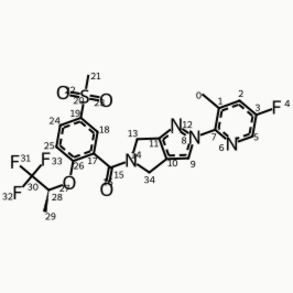 Cc1cc(F)cnc1-n1cc2c(n1)CN(C(=O)c1cc(S(C)(=O)=O)ccc1O[C@@H](C)C(F)(F)F)C2